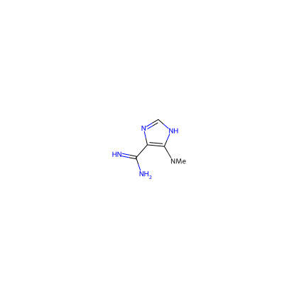 CNc1[nH]cnc1C(=N)N